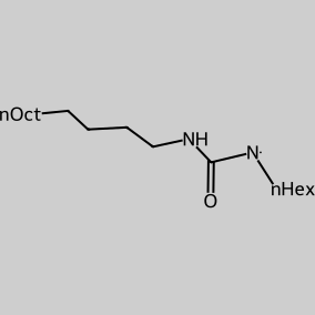 CCCCCCCCCCCCNC(=O)[N]CCCCCC